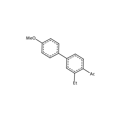 CCc1cc(-c2ccc(OC)cc2)ccc1C(C)=O